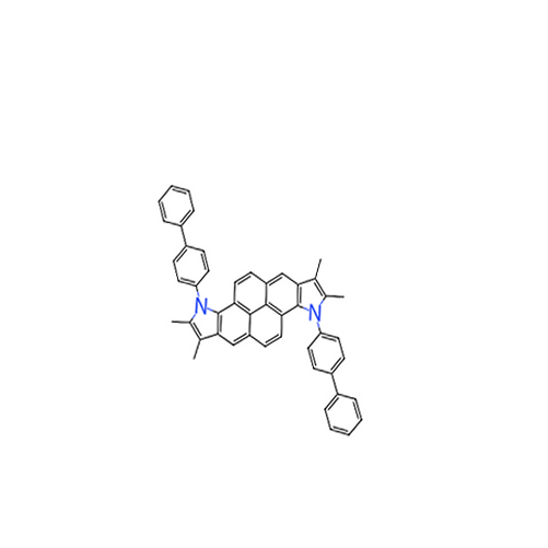 Cc1c(C)n(-c2ccc(-c3ccccc3)cc2)c2c1cc1ccc3c4c(ccc2c14)cc1c(C)c(C)n(-c2ccc(-c4ccccc4)cc2)c13